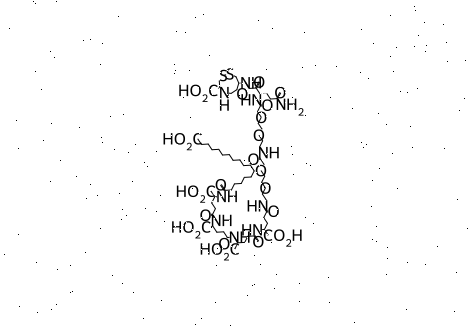 NC(=O)CC[C@H](NC(=O)COCCOCCNC(=O)COCCOCCNC(=O)CC[C@H](NC(=O)CC[C@H](NC(=O)CC[C@H](NC(=O)CC[C@H](NC(=O)CCCCCCCCCCCCCCCCC(=O)O)C(=O)O)C(=O)O)C(=O)O)C(=O)O)C(=O)CN[C@H]1CSSC[C@@H](C(=O)O)NCC1=O